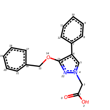 O=C(O)Cn1cc(-c2ccccc2)c(OCc2ccccc2)n1